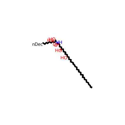 C=CCCCCCCC/C=C/CC/C=C/CCCC/C=C/CCCCC(O)C/C=C/CCC(O)CCCC(=O)NC(CO)C(O)C(O)CCCCCCCCCCCCCCCC